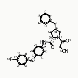 N#CCC(=O)N1C[C@H](Cc2ccccc2)C[C@H]1C(=O)Nc1ccc(Oc2ccc(F)cc2)cc1